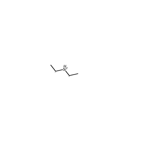 C[C][SiH2][C]C